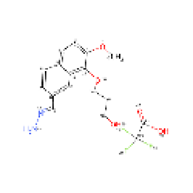 COc1ccc2ccc(C=NN)cc2c1OCCCO.O=C(O)C(F)(F)F